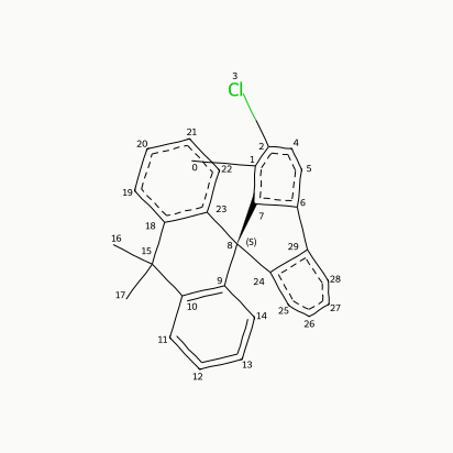 Cc1c(Cl)ccc2c1[C@]1(C3=C(C=C=C=C3)C(C)(C)c3ccccc31)c1ccccc1-2